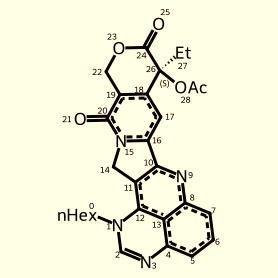 CCCCCCN1C=Nc2cccc3nc4c(c1c23)Cn1c-4cc2c(c1=O)COC(=O)[C@@]2(CC)OC(C)=O